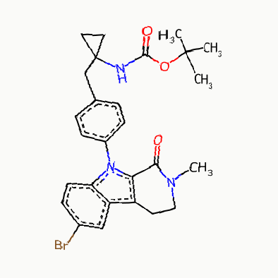 CN1CCc2c(n(-c3ccc(CC4(NC(=O)OC(C)(C)C)CC4)cc3)c3ccc(Br)cc23)C1=O